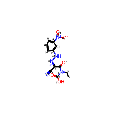 CCN(C(=O)O)C(=O)/C(C#N)=N\Nc1cccc([N+](=O)[O-])c1